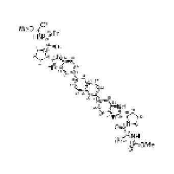 COC(=O)N[C@H](C(=O)N1CCC[C@H]1c1nc2ccc(-c3ccc4cc(-c5ccc6nc([C@@H]7CCCN7C(=O)[C@@H](NC(=O)OC)C(C)C)[nH]c6c5)ccc4c3)cc2[nH]1)C(C)C